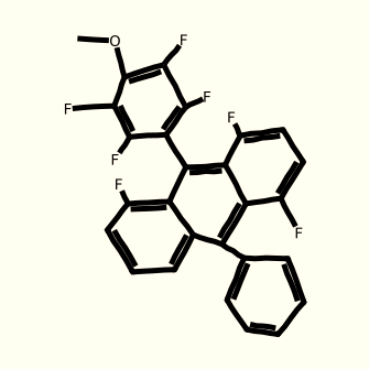 COc1c(F)c(F)c(-c2c3c(F)cccc3c(-c3ccccc3)c3c(F)ccc(F)c23)c(F)c1F